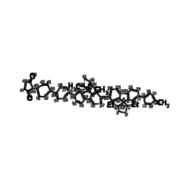 CCC12CCC(CC)(CC1)C21c2cc(-c3ccc(C)cc3)ccc2-c2ccc(-c3ccc4c(c3)C3(c5cc(-c6ccc(-c7ccc(C8C(=O)C=CC8=O)cc7)cc6)ccc5-4)C4(C)CCC3(C)CC4)cc21